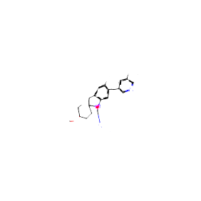 CCO[C@H]1CC[C@]2(CC1)Cc1cc(C)c(-c3cncc(C(F)(F)F)c3)cc1C21N=CC(N)=N1